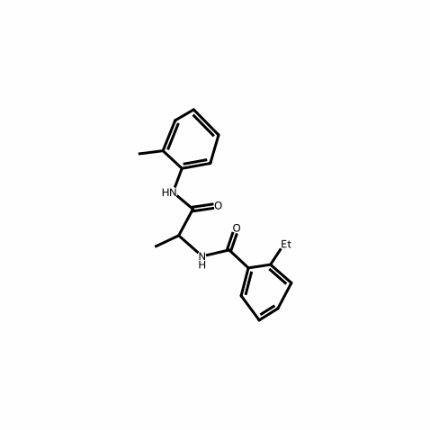 CCc1ccccc1C(=O)NC(C)C(=O)Nc1ccccc1C